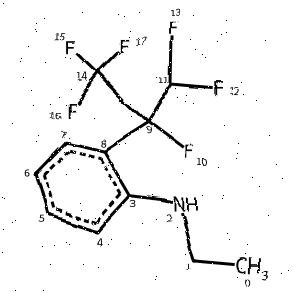 CCNc1ccccc1C(F)(C(F)F)C(F)(F)F